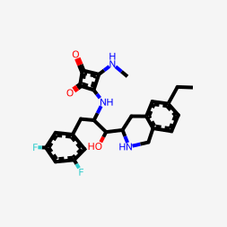 CCc1ccc2c(c1)CC(C(O)C(Cc1cc(F)cc(F)c1)Nc1c(NC)c(=O)c1=O)NC2